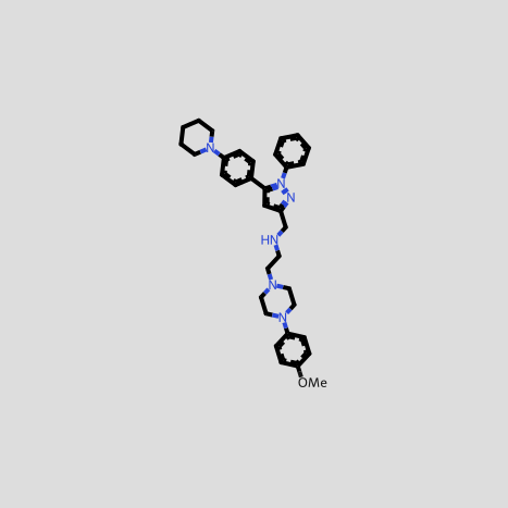 COc1ccc(N2CCN(CCNCc3cc(-c4ccc(N5CCCCC5)cc4)n(-c4ccccc4)n3)CC2)cc1